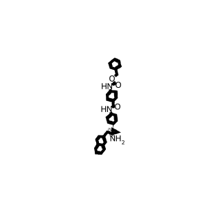 N[C@@]1(Cc2ccc3ccccc3c2)C[C@H]1c1ccc(NC(=O)c2ccc(NC(=O)OCc3ccccc3)cc2)cc1